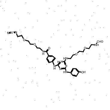 C=C(/N=C(\N=C(/N)NCCOCCOCCNC=O)Nc1ccc(O)cc1)Nc1ccc(C(=O)NCCOCCOCCN=[N+]=[N-])cc1